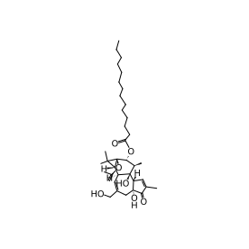 C=C(C)O[C@@]12[C@H](OC(=O)CCCCCCCCCCCCC)[C@@H](C)[C@@]3(O)[C@@H](C=C(CO)C[C@]4(O)C(=O)C(C)=C[C@@H]34)[C@@H]1C2(C)C